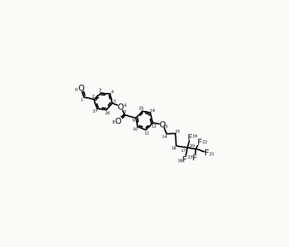 O=Cc1ccc(OC(=O)c2ccc(OCCCC(F)(F)C(F)(F)F)cc2)cc1